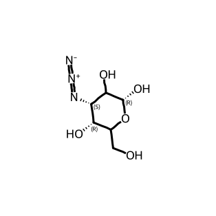 [N-]=[N+]=N[C@@H]1C(O)[C@H](O)OC(CO)[C@@H]1O